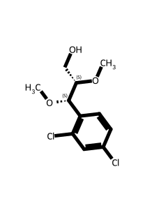 CO[C@@H](CO)[C@@H](OC)c1ccc(Cl)cc1Cl